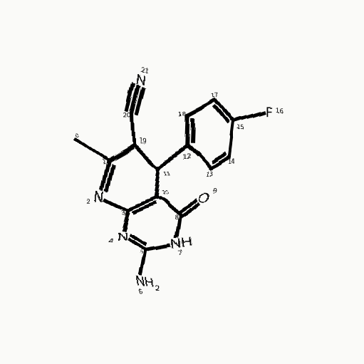 CC1=Nc2nc(N)[nH]c(=O)c2C(c2ccc(F)cc2)C1C#N